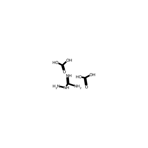 N=C(N)NN.O=C(O)O.O=C(O)O